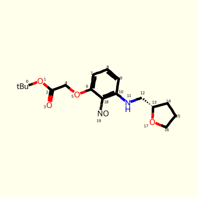 CC(C)(C)OC(=O)COc1cccc(NC[C@@H]2CCCO2)c1N=O